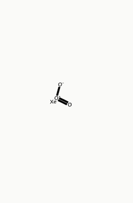 O=[O+][O-].[Xe]